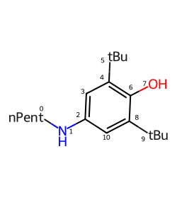 CCCCCNc1cc(C(C)(C)C)c(O)c(C(C)(C)C)c1